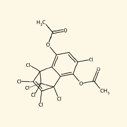 CC(=O)Oc1cc(Cl)c(OC(C)=O)c2c1C1(Cl)C(Cl)=C(Cl)C2(Cl)C1(Cl)Cl